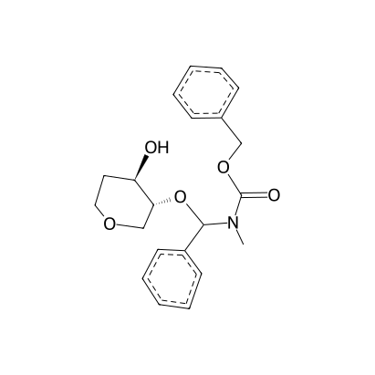 CN(C(=O)OCc1ccccc1)C(O[C@@H]1COCC[C@H]1O)c1ccccc1